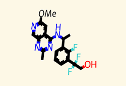 COc1cc2c(NC(C)c3cccc(C(F)(F)CO)c3F)nc(C)nc2cn1